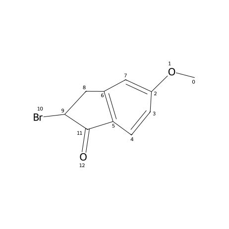 COc1ccc2c(c1)CC(Br)C2=O